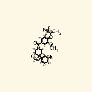 COc1cc(C(=O)N2CCC3(c4cccc(F)c4)OCOC3C2)ccc1OC(C)C(F)(F)F